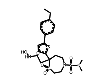 CCc1ccc(-c2ccc(C3(CC(=O)NO)CCN(S(=O)(=O)N(C)C)CCS3(=O)=O)s2)cc1